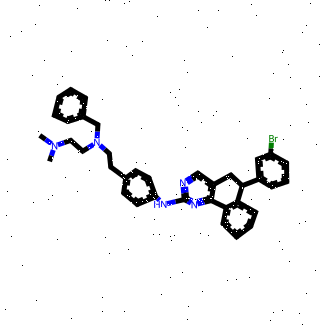 CN(C)CCN(CCc1ccc(Nc2ncc3c(n2)-c2ccccc2C(c2cccc(Br)c2)C3)cc1)Cc1ccccc1